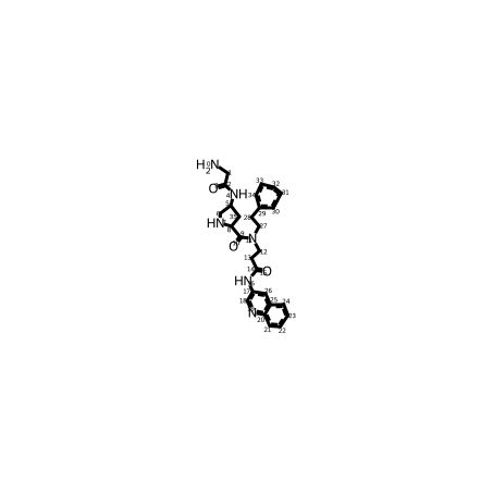 NCC(=O)NC1CNC(C(=O)N(CCC(=O)Nc2cnc3ccccc3c2)CCc2ccccc2)C1